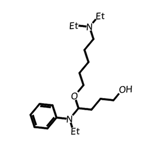 CCN(CC)CCCCCOC(CCCO)N(CC)c1ccccc1